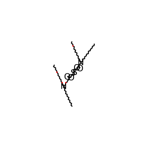 CCCCCCCCCCCCCCN(CCCCCCCCCCCCCC)CCCCCC(=O)OCCSSCCOC(=O)CCN(CCCCCCCCCCCCCC)CCCCCCCCCCCCCC